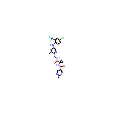 Cc1ncc(C(=O)NC2(C(=O)NCc3ncc(Nc4ccc(Cl)cc4C(F)(F)F)cc3C)CC2)cn1